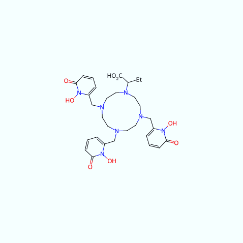 CCC(C(=O)O)N1CCN(Cc2cccc(=O)n2O)CCN(Cc2cccc(=O)n2O)CCN(Cc2cccc(=O)n2O)CC1